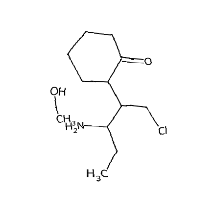 CCC(N)C(CCl)C1CCCCC1=O.CO